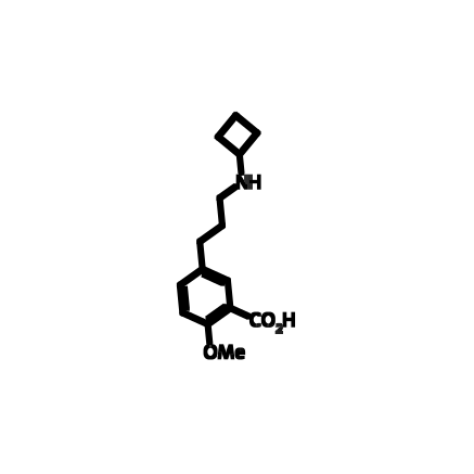 COc1ccc(CCCNC2CCC2)cc1C(=O)O